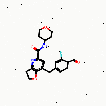 O=CC1CC=C(Cc2cc(C(=O)NC3CCOCC3)nc3c2OCC3)C=C1F